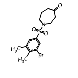 Cc1cc(S(=O)(=O)N2CCCC(=O)CC2)cc(Br)c1C